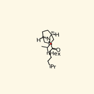 CCCCCCC(C)CN1[C@@H]2CC[C@H]1CN(C(=O)CCCC(C)C)C2